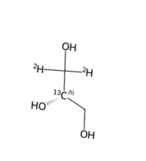 [2H]C([2H])(O)[13C@@H](O)CO